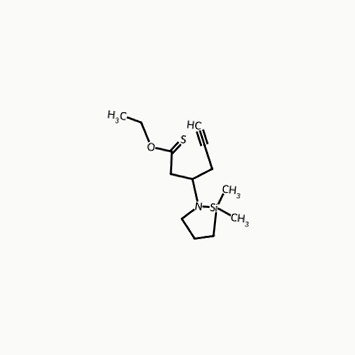 C#CCC(CC(=S)OCC)N1CCC[Si]1(C)C